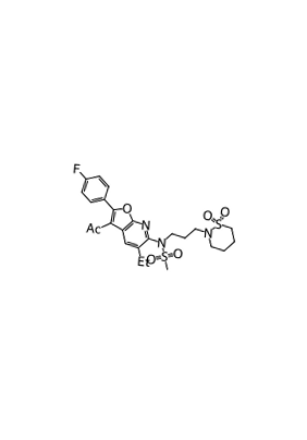 CCc1cc2c(C(C)=O)c(-c3ccc(F)cc3)oc2nc1N(CCCN1CCCCS1(=O)=O)S(C)(=O)=O